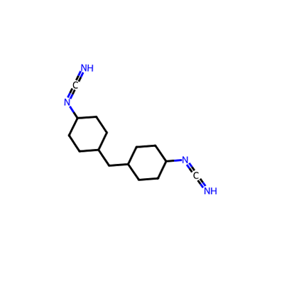 N=C=NC1CCC(CC2CCC(N=C=N)CC2)CC1